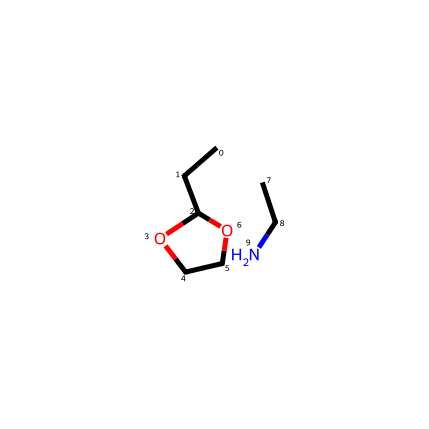 CCC1OCCO1.CCN